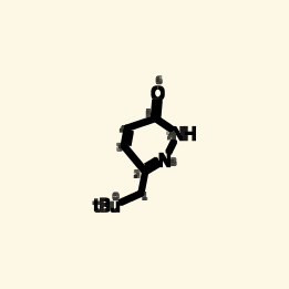 CC(C)(C)Cc1ccc(=O)[nH]n1